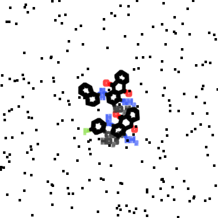 Nc1c(S(=O)(=O)O)cc(Nc2ccc(F)cc2C(=O)O)c2c1C(=O)c1ccccc1C2=O.Nc1c(S(=O)(=O)O)cc(Nc2cccc3ccccc23)c2c1C(=O)c1ccccc1C2=O